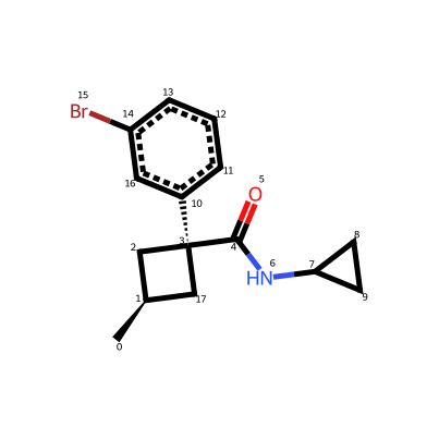 C[C@H]1C[C@](C(=O)NC2CC2)(c2cccc(Br)c2)C1